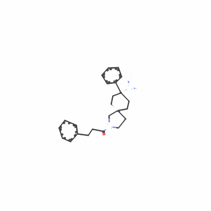 CN(C)[C@]1(c2ccccc2)CC[C@]2(CCN(C(=O)CCc3ccccc3)C2)CC1